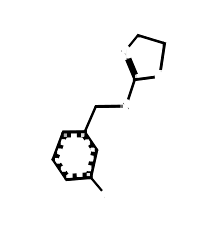 Clc1cccc(CNC2=NCCS2)c1